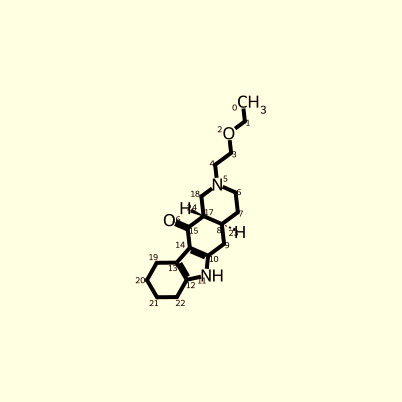 CCOCCN1CC[C@H]2Cc3[nH]c4c(c3C(=O)[C@@H]2C1)CCCC4